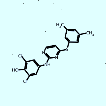 Cc1cc(C)cc(Sc2ccnc(Nc3cc(Cl)c(O)c(Cl)c3)n2)c1